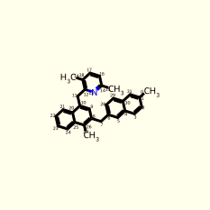 Cc1ccc2cc(Cc3cc(Cc4nc(C)ccc4C)c4ccccc4c3C)ccc2c1